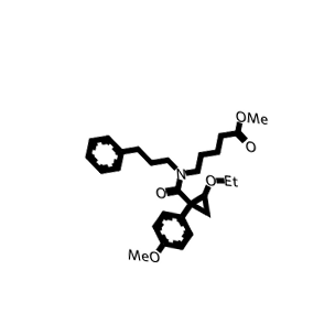 CCOC1CC1(C(=O)N(CCCCC(=O)OC)CCCc1ccccc1)c1ccc(OC)cc1